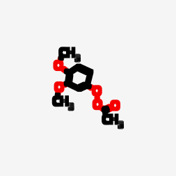 COc1ccc(OOC(C)=O)cc1OC